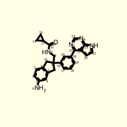 Nc1ccc2c(c1)CC(CNC(=O)C1CC1)(c1cccc(-c3ncnc4[nH]ccc34)c1)C2